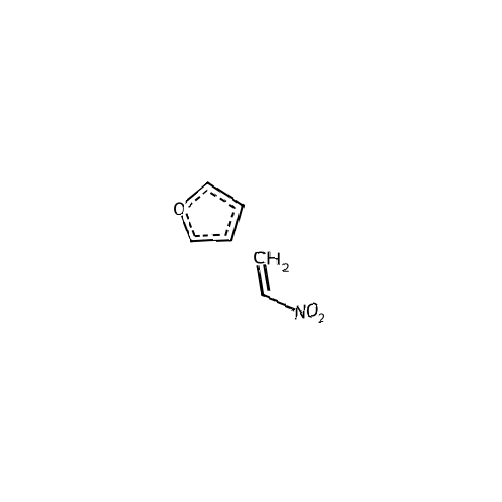 C=C[N+](=O)[O-].c1ccoc1